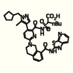 CCCCC(C(=O)O)S(=O)(=O)NC(=O)c1nc(N2CCc3cccc(C(=O)Nc4nc5cccnc5s4)c3C2)ccc1-c1cnn(CC2CCCC2)c1C